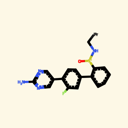 CC(C)CN[S+]([O-])c1ccccc1-c1ccc(-c2cnc(N)nc2)c(F)c1